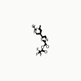 Cc1cc(-c2cnc(C(=O)OC(=O)C(F)(F)F)s2)cn[n+]1[O-]